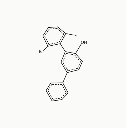 Oc1ccc(-c2ccccc2)cc1-c1c(F)cccc1Br